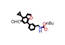 CCCCOC(=O)NCc1cccc(-c2cc(C=O)c(C3CC3)c3ccoc23)c1